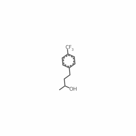 CC(O)CCc1ccc(C(F)(F)F)cc1